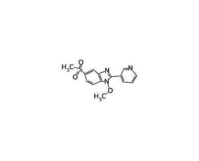 COn1c(-c2cccnc2)nc2cc(S(C)(=O)=O)ccc21